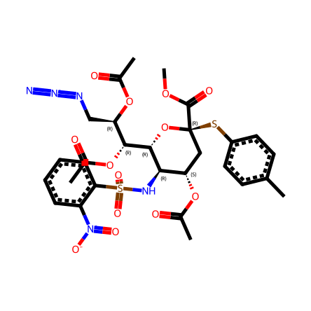 COC(=O)[C@]1(Sc2ccc(C)cc2)C[C@H](OC(C)=O)[C@@H](NS(=O)(=O)c2ccccc2[N+](=O)[O-])[C@H]([C@H](OC(C)=O)[C@@H](CN=[N+]=[N-])OC(C)=O)O1